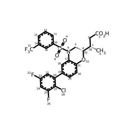 C[C@@H](CC(=O)O)[C@H]1CN(S(=O)(=O)c2cccc(C(F)(F)F)c2)c2cc(-c3cc(F)cc(F)c3Cl)ccc2O1